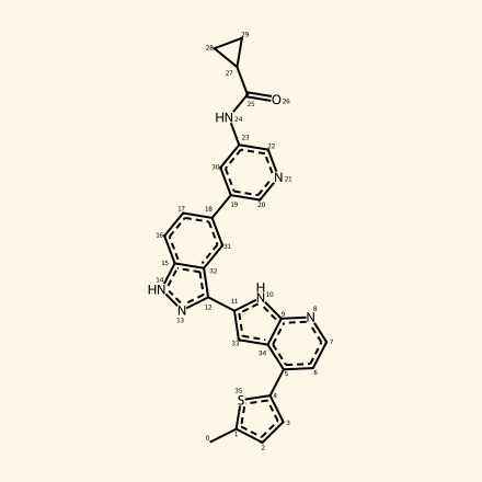 Cc1ccc(-c2ccnc3[nH]c(-c4n[nH]c5ccc(-c6cncc(NC(=O)C7CC7)c6)cc45)cc23)s1